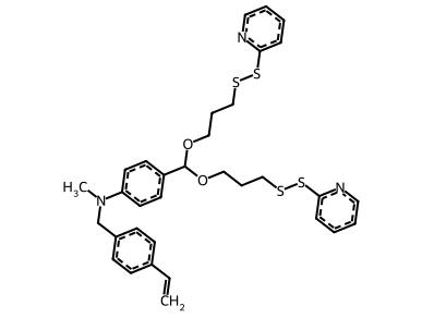 C=Cc1ccc(CN(C)c2ccc(C(OCCCSSc3ccccn3)OCCCSSc3ccccn3)cc2)cc1